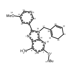 CCCCOc1nc(N)c2nc(-c3cncc(OC)c3)n(CC3=CCCC=C3)c2n1